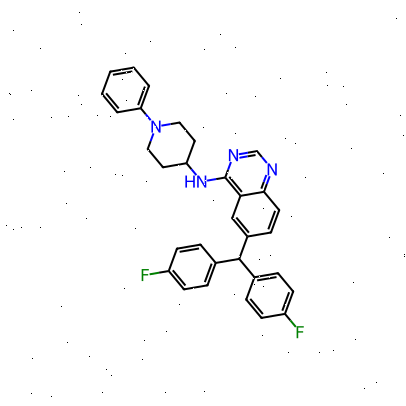 Fc1ccc(C(c2ccc(F)cc2)c2ccc3ncnc(NC4CCN(c5ccccc5)CC4)c3c2)cc1